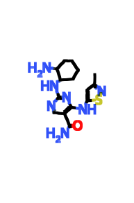 Cc1cc(Nc2nc(N[C@@H]3CCCC[C@@H]3N)ncc2C(N)=O)sn1